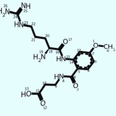 COc1ccc(C(=O)NCCC(=O)O)c(NC(=O)[C@@H](N)CCCNC(=N)N)c1